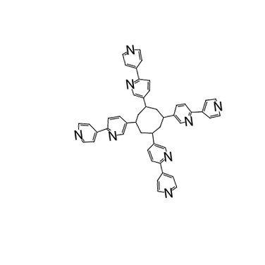 c1cc(-c2ccc(C3CC(c4ccc(-c5ccncc5)nc4)CC(c4ccc(-c5ccncc5)nc4)CC(c4ccc(-c5ccncc5)nc4)C3)cn2)ccn1